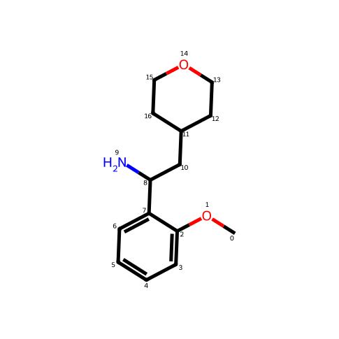 COc1ccccc1C(N)CC1CCOCC1